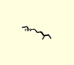 CCNCC/C=C(\C)CC